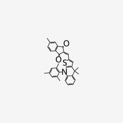 Cc1cc(C)c(N2c3ccccc3C(C)(C)c3cc(/C=C4\C(=O)c5ccc(C)cc5C4=O)sc32)c(C)c1